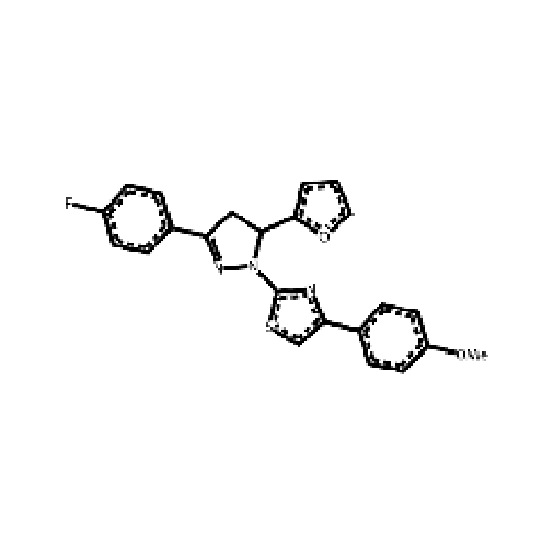 COc1ccc(-c2csc(N3N=C(c4ccc(F)cc4)CC3c3ccco3)n2)cc1